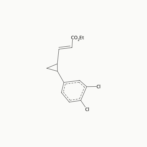 CCOC(=O)C=CC1CC1c1ccc(Cl)c(Cl)c1